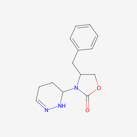 O=C1OCC(Cc2ccccc2)N1C1CCC=NN1